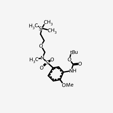 COc1ccc(S(=O)(=O)N(C)COCC[Si](C)(C)C)cc1NC(=O)OC(C)(C)C